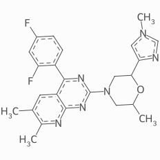 Cc1cc2c(-c3ccc(F)cc3F)nc(N3CC(C)OC(c4cn(C)cn4)C3)nc2nc1C